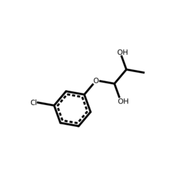 CC(O)C(O)Oc1cccc(Cl)c1